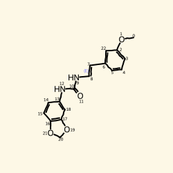 COc1cccc(/C=C/NC(=O)Nc2ccc3c(c2)OCO3)c1